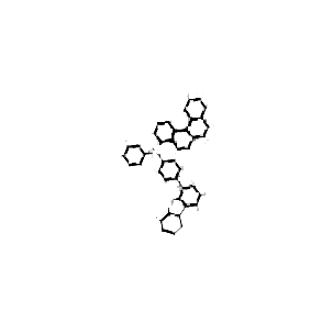 C1=CCC2C(=C1)Oc1c(-c3ccc(N(c4ccccc4)c4cccc5c4ccc4ccc6ccccc6c45)cc3)cccc12